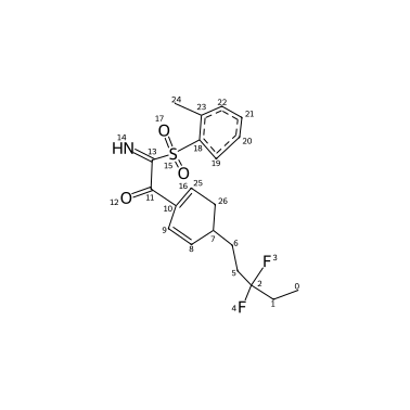 CCC(F)(F)CCC1C=CC(C(=O)C(=N)S(=O)(=O)c2ccccc2C)=CC1